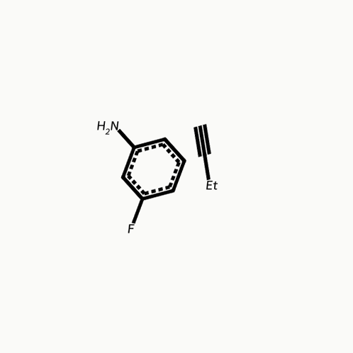 C#CCC.Nc1cccc(F)c1